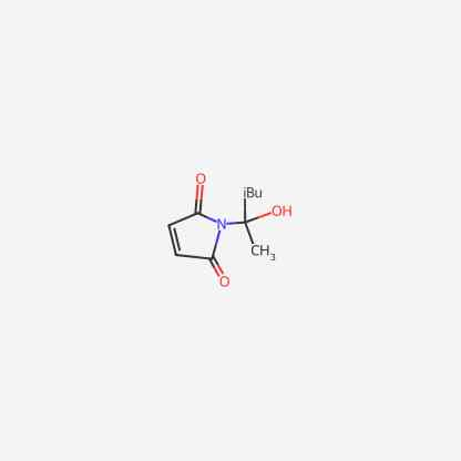 CCC(C)C(C)(O)N1C(=O)C=CC1=O